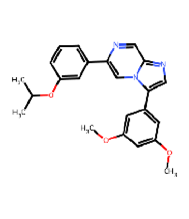 COc1cc(OC)cc(-c2cnc3cnc(-c4cccc(OC(C)C)c4)cn23)c1